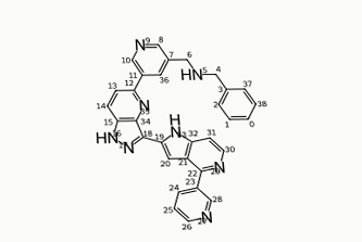 c1ccc(CNCc2cncc(-c3ccc4[nH]nc(-c5cc6c(-c7cccnc7)nccc6[nH]5)c4n3)c2)cc1